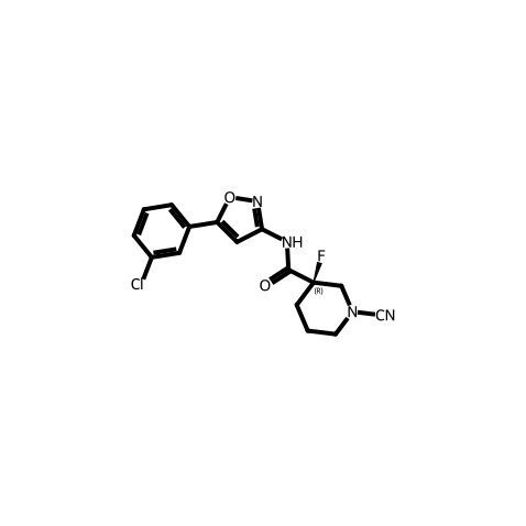 N#CN1CCC[C@](F)(C(=O)Nc2cc(-c3cccc(Cl)c3)on2)C1